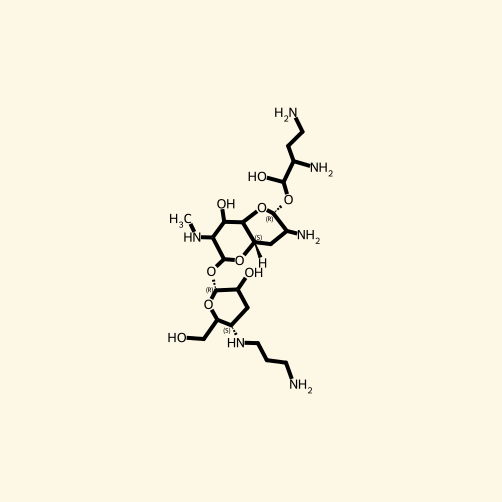 CNC1C(O[C@H]2OC(CO)[C@@H](NCCCN)CC2O)O[C@H]2CC(N)[C@@H](OC(O)C(N)CCN)OC2C1O